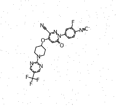 [C-]#[N+]c1ccc(-n2nc(C#N)c(OC3CCN(c4ncc(C(F)(F)F)cn4)CC3)cc2=O)cc1F